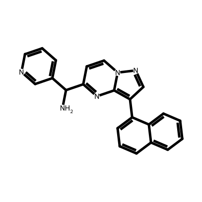 NC(c1cccnc1)c1ccn2ncc(-c3cccc4ccccc34)c2n1